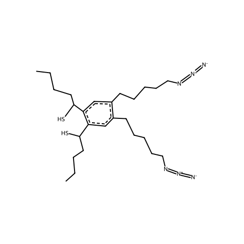 CCCCC(S)c1cc(CCCCCN=[N+]=[N-])c(CCCCCN=[N+]=[N-])cc1C(S)CCCC